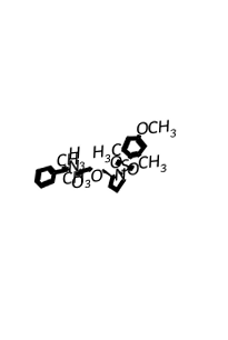 COc1cc(C)c(S(=O)(=O)N2CCC[C@H]2COCC(=O)NC(C)(C)c2ccccc2)c(C)c1